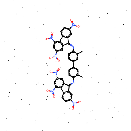 Cc1cc(-c2ccc(N=C3c4cc([N+](=O)[O-])ccc4-c4c3cc([N+](=O)[O-])cc4[N+](=O)[O-])c(C)c2)ccc1N=C1c2cc([N+](=O)[O-])ccc2-c2c1cc([N+](=O)[O-])cc2[N+](=O)[O-]